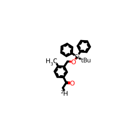 [2H]CC(=O)c1ccc(C)c(CO[Si](c2ccccc2)(c2ccccc2)C(C)(C)C)c1